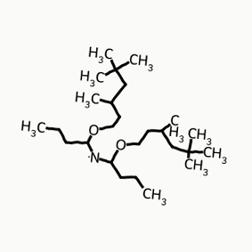 CCCC([N]C(CCC)OCCC(C)CC(C)(C)C)OCCC(C)CC(C)(C)C